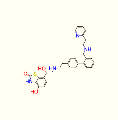 O=c1[nH]c2c(O)ccc(C(O)CNCCc3ccc(-c4ccccc4CNCCc4ccccn4)cc3)c2s1